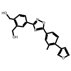 Cc1cc(-c2nc(-c3ccc(CO)c(CO)c3)no2)ccc1-c1ccoc1